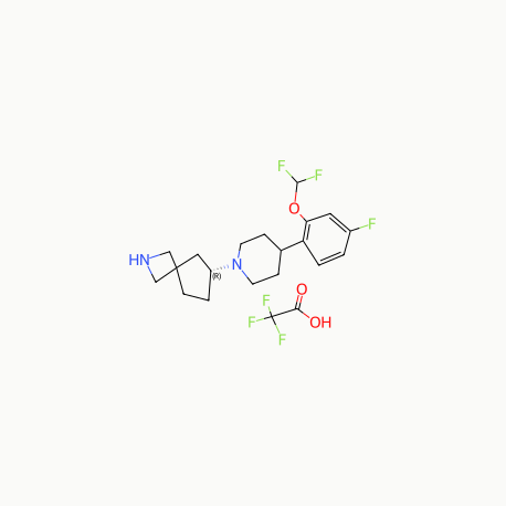 Fc1ccc(C2CCN([C@@H]3CCC4(CNC4)C3)CC2)c(OC(F)F)c1.O=C(O)C(F)(F)F